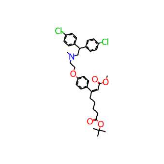 COC(=O)/C=C(/CCCCC(=O)OC(C)(C)C)c1ccc(OCCN(C)CC(c2ccc(Cl)cc2)c2ccc(Cl)cc2)cc1